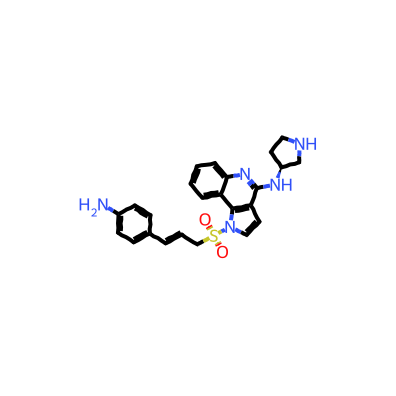 Nc1ccc(C=CCS(=O)(=O)n2ccc3c(N[C@H]4CCNC4)nc4ccccc4c32)cc1